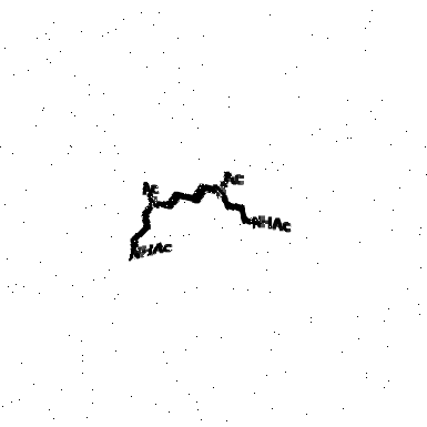 CC(=O)NCCCN(CCCCN(CCCNC(C)=O)C(C)=O)C(C)=O